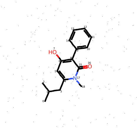 CC(C)Cc1cc(O)c(-c2ccccc2)c(=O)n1C